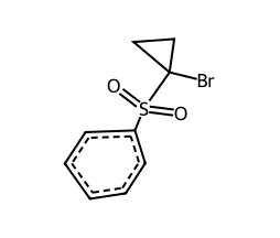 O=S(=O)(c1ccccc1)C1(Br)CC1